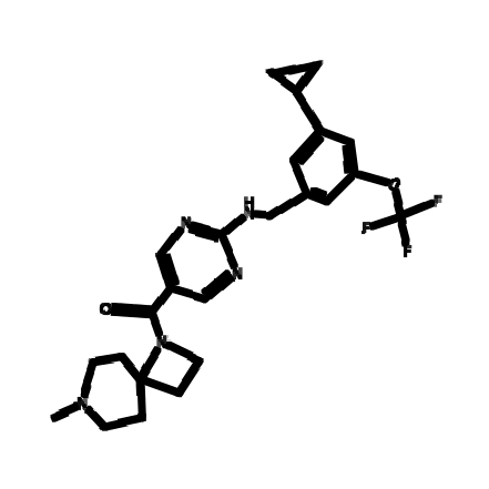 CN1CCC2(CC1)CCN2C(=O)c1cnc(NCc2cc(OC(F)(F)F)cc(C3CC3)c2)nc1